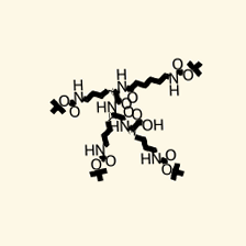 CC(C)(C)OC(=O)NCCCCCC(=O)N[C@@H](CCCCNC(=O)OC(C)(C)C)C(=O)N[C@@H](CCCCNC(=O)OC(C)(C)C)C(=O)N[C@@H](CCCCNC(=O)OC(C)(C)C)C(=O)O